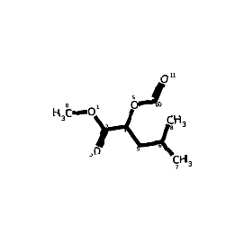 COC(=O)C(CC(C)C)OC=O